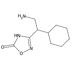 NCC(c1noc(=O)[nH]1)C1CCCCC1